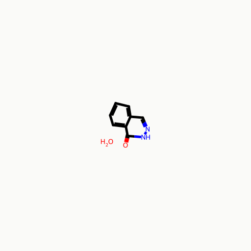 O.O=c1[nH]ncc2ccccc12